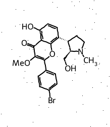 COc1c(-c2ccc(Br)cc2)oc2c([C@@H]3CCN(C)[C@H]3CO)ccc(O)c2c1=O